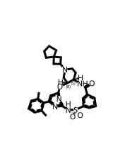 Cc1cccc(C)c1-c1cc2nc(n1)NS(=O)(=O)c1cccc(c1)C(=O)N[C@H]1CCN(C3CC4(CCCC4)C3)C[C@H]1O2